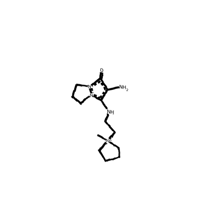 C[N+]1(CCNc2c(N)c(=O)n3n2CCC3)CCCC1